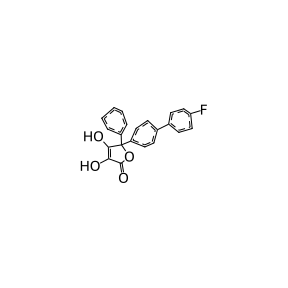 O=C1OC(c2ccccc2)(c2ccc(-c3ccc(F)cc3)cc2)C(O)=C1O